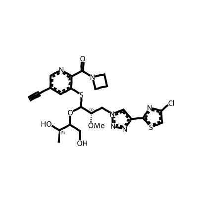 C#Cc1cnc(C(=O)N2CCC2)c(SC(OC(CO)[C@@H](C)O)[C@H](Cn2cc(-c3nc(Cl)cs3)nn2)OC)c1